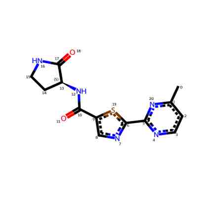 Cc1ccnc(-c2ncc(C(=O)N[C@H]3CCNC3=O)s2)n1